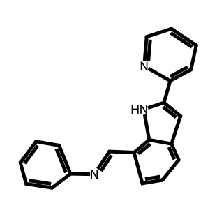 C(=N\c1ccccc1)/c1cccc2cc(-c3ccccn3)[nH]c12